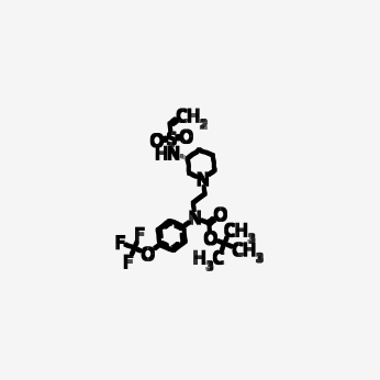 C=CS(=O)(=O)N[C@@H]1CCCN(CCN(C(=O)OC(C)(C)C)c2ccc(OC(F)(F)F)cc2)C1